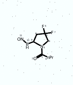 CCCC(=O)N1CC(F)(F)CC1BN=O